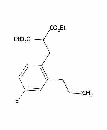 C=CCc1cc(F)ccc1CC(C(=O)OCC)C(=O)OCC